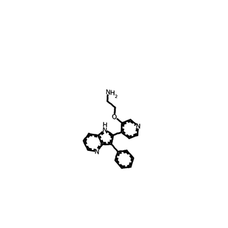 NCCOc1cnccc1-c1[nH]c2cccnc2c1-c1ccccc1